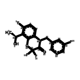 C[C@H](O)c1c(F)ccc2c1OC(F)(F)C(=O)N2Cc1cncc(F)c1